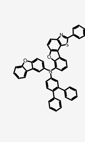 c1ccc(-c2nc3ccc4oc5c(N(c6ccc(-c7ccccc7)c(-c7ccccc7)c6)c6ccc7oc8ccccc8c7c6)cccc5c4c3s2)cc1